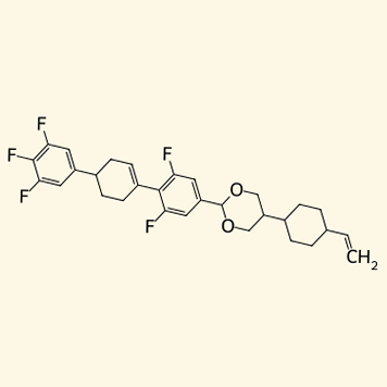 C=CC1CCC(C2COC(c3cc(F)c(C4=CCC(c5cc(F)c(F)c(F)c5)CC4)c(F)c3)OC2)CC1